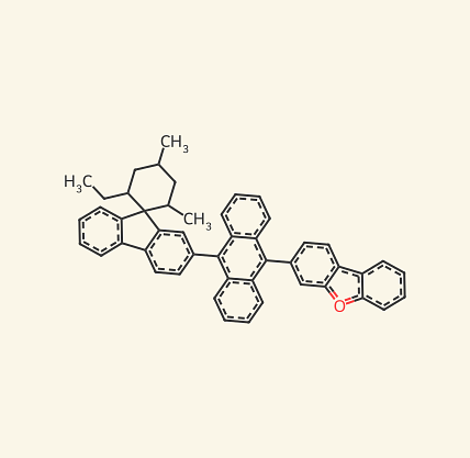 CCC1CC(C)CC(C)C12c1ccccc1-c1ccc(-c3c4ccccc4c(-c4ccc5c(c4)oc4ccccc45)c4ccccc34)cc12